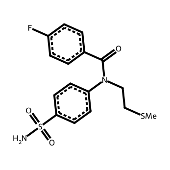 CSCCN(C(=O)c1ccc(F)cc1)c1ccc(S(N)(=O)=O)cc1